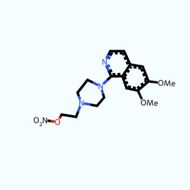 COc1cc2ccnc(N3CCN(CCO[N+](=O)[O-])CC3)c2cc1OC